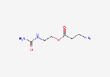 NCCC(=O)OCCNC(N)=O